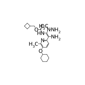 Cc1nc(/C(N)=C(\NC(=O)OCC2CCC2)N(C)N)ccc1OC1CCCCC1